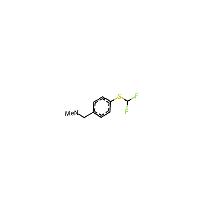 CNCc1ccc(SC(F)F)cc1